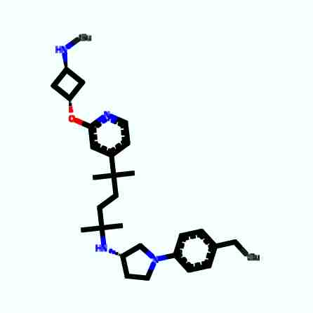 CC(C)(C)Cc1ccc(N2CC[C@H](NC(C)(C)CCC(C)(C)c3ccnc(O[C@H]4C[C@H](NC(C)(C)C)C4)c3)C2)cc1